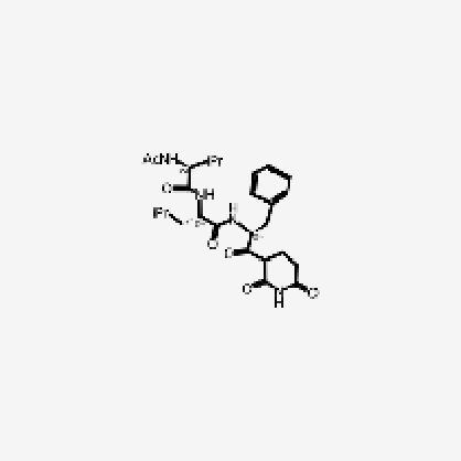 CC(=O)N[C@H](C(=O)N[C@@H](CC(C)C)C(=O)N[C@@H](Cc1ccccc1)C(=O)C1CCC(=O)NC1=O)C(C)C